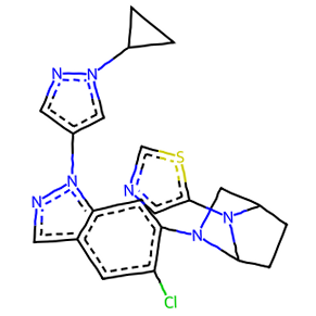 Clc1cc2cnn(-c3cnn(C4CC4)c3)c2cc1N1CC2CCC1N2c1cncs1